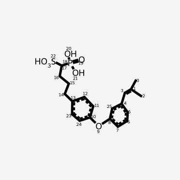 CC(C)=Cc1cccc(Oc2ccc(CCCC(P(=O)(O)O)S(=O)(=O)O)cc2)c1